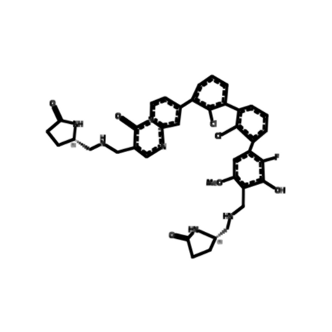 COc1cc(-c2cccc(-c3cccc(-c4ccn5c(=O)c(CNC[C@@H]6CCC(=O)N6)cnc5c4)c3Cl)c2Cl)c(F)c(O)c1CNC[C@@H]1CCC(=O)N1